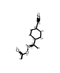 CC(=O)O/N=C(\C)C1CCC(C#N)CC1